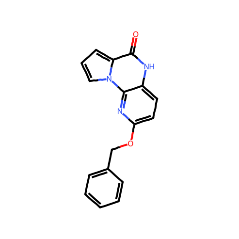 O=c1[nH]c2ccc(OCc3ccccc3)nc2n2cccc12